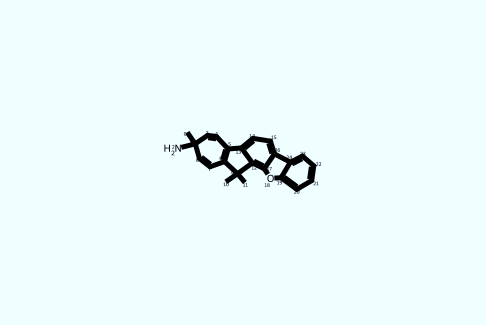 CC1(N)C=CC2=C(C=C1)C(C)(C)c1c2ccc2c1oc1ccccc12